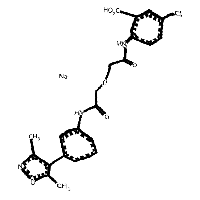 Cc1noc(C)c1-c1cccc(NC(=O)COCC(=O)Nc2ccc(Cl)cc2C(=O)O)c1.[Na]